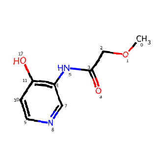 COCC(=O)Nc1cnccc1O